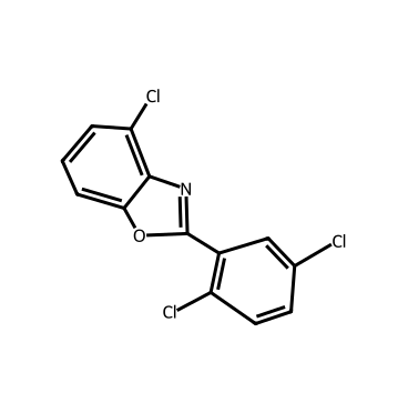 Clc1ccc(Cl)c(-c2nc3c(Cl)cccc3o2)c1